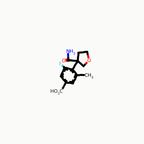 Cc1cc(C(=O)O)cc(F)c1C1(C(N)=O)CCOC1